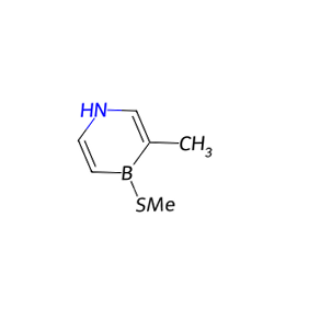 CSB1C=CNC=C1C